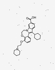 O=C(O)c1ccc2c(C3CCCCC3)c3n(c2c1)CCOc1c(OCCN2CCCCC2)cccc1-3